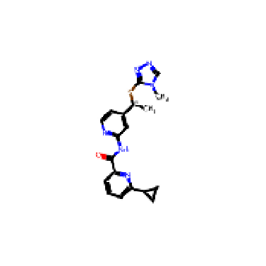 C[C@H](Sc1nncn1C)c1ccnc(NC(=O)c2cccc(C3CC3)n2)c1